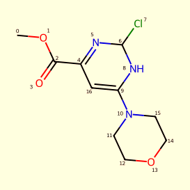 COC(=O)C1=NC(Cl)NC(N2CCOCC2)=C1